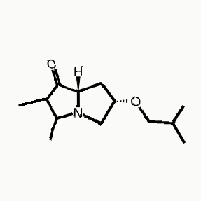 CC(C)CO[C@H]1C[C@H]2C(=O)C(C)C(C)N2C1